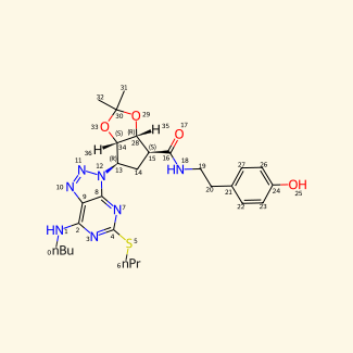 CCCCNc1nc(SCCC)nc2c1nnn2[C@@H]1C[C@H](C(=O)NCCc2ccc(O)cc2)[C@H]2OC(C)(C)O[C@H]21